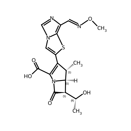 CON=Cc1ncn2cc(C3=C(C(=O)O)N4C(=O)[C@H]([C@@H](C)O)[C@@H]4[C@H]3C)sc12